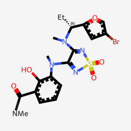 CC[C@H](c1cc(Br)co1)N(C)C1=NS(=O)(=O)N=C1N(C)c1cccc(C(=O)NC)c1O